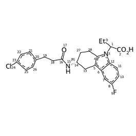 CCC(C(=O)O)n1c2c(c3cc(F)ccc31)C[C@H](NC(=O)CCc1ccc(Cl)cc1)CC2